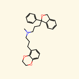 CN(CCCc1cccc2c1OCCO2)CCCC1(c2ccccc2)OCc2ccccc21